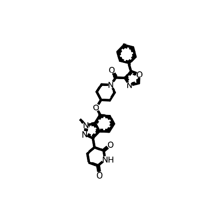 Cn1nc(C2CCC(=O)NC2=O)c2cccc(OC3CCN(C(=O)c4ncoc4-c4ccccc4)CC3)c21